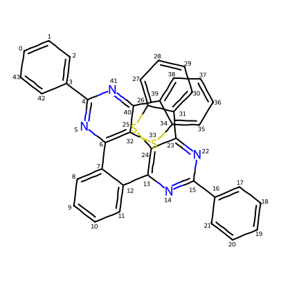 c1ccc(-c2nc(-c3ccccc3-c3nc(-c4ccccc4)nc4c3sc3ccccc34)c3sc4ccccc4c3n2)cc1